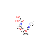 COc1ccc([C@@H]2CN(C(=O)C(O)CO)C[C@@]2(C)C(C)O)cc1OC1CN(c2ccc(C)cn2)C1